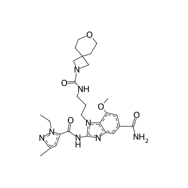 CCn1nc(C)cc1C(=O)Nc1nc2cc(C(N)=O)cc(OC)c2n1CCCNC(=O)N1CC2(CCOCC2)C1